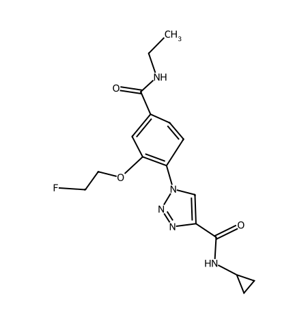 CCNC(=O)c1ccc(-n2cc(C(=O)NC3CC3)nn2)c(OCCF)c1